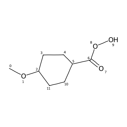 COC1CCC(C(=O)OO)CC1